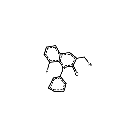 O=c1c(CBr)cc2cccc(F)c2n1-c1ccccc1